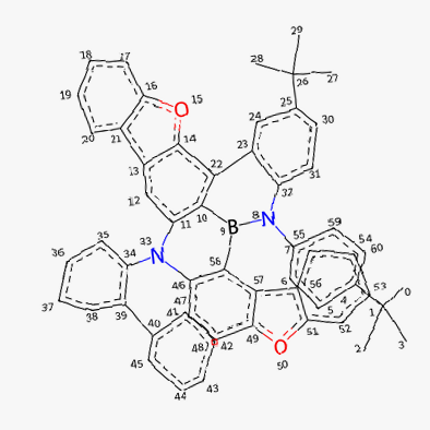 CC(C)(C)c1ccc(N2B3c4c(cc5c(oc6ccccc65)c4-c4cc(C(C)(C)C)ccc42)N(c2ccccc2-c2ccccc2)c2ccc4oc5ccccc5c4c23)cc1